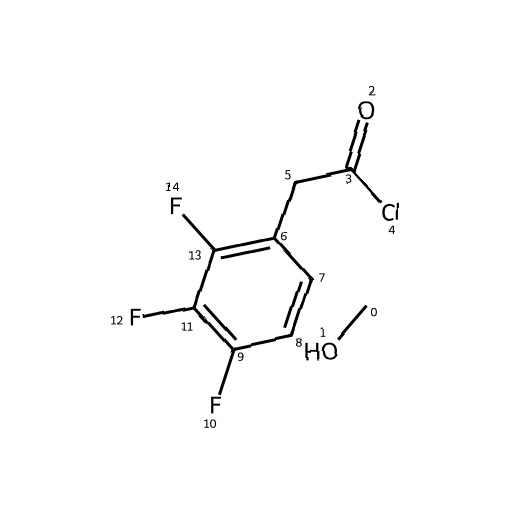 CO.O=C(Cl)Cc1ccc(F)c(F)c1F